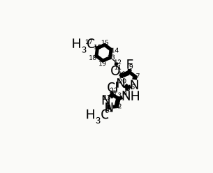 Cn1cc(Nc2ncc(F)c(OC[C@H]3CC[C@H](C)CC3)n2)c(Cl)n1